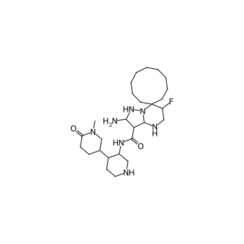 CN1CC(C2CCNCC2NC(=O)C2C(N)NN3C2NCC(F)C32CCCCCCCCC2)CCC1=O